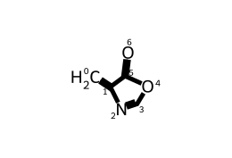 C=C1N=COC1=O